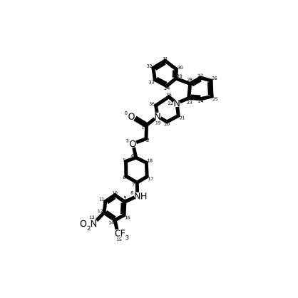 O=C(COC1CCC(Nc2ccc([N+](=O)[O-])c(C(F)(F)F)c2)CC1)N1CCN(c2ccccc2-c2ccccc2)CC1